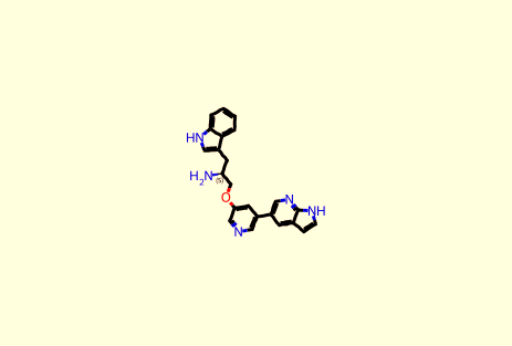 N[C@H](COc1cncc(-c2cnc3[nH]ccc3c2)c1)Cc1c[nH]c2ccccc12